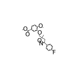 COC(=O)c1ccc(OC)c(OCC2(C)CC(c3ccc(F)cc3)=NO2)c1